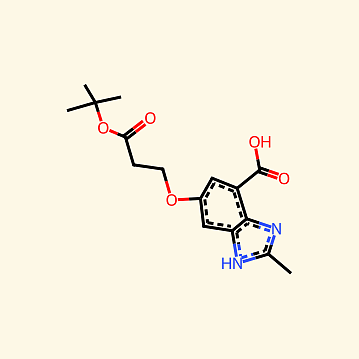 Cc1nc2c(C(=O)O)cc(OCCC(=O)OC(C)(C)C)cc2[nH]1